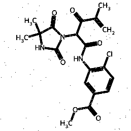 C=C(C)C(=O)C(C(=O)Nc1cc(C(=O)OC)ccc1Cl)N1C(=O)NC(C)(C)C1=O